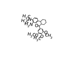 COc1cc(C(=O)C2CCCCC2c2ccc(N(C)C)c(N)c2)cc(OC)c1OC